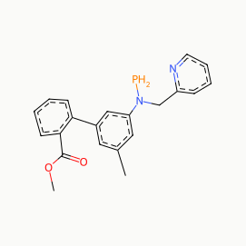 COC(=O)c1ccccc1-c1cc(C)cc(N(P)Cc2ccccn2)c1